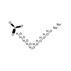 O.O.O.O.O.O.O.O.O.O.O=[Si]([O-])[O-].[Na+].[Na+]